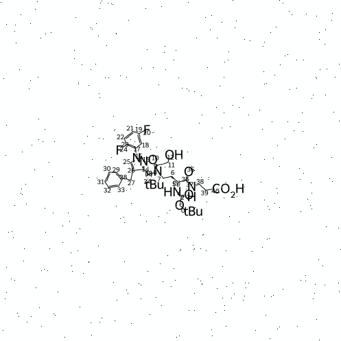 CC(C)(C)OC(=O)N[C@@H](CCN(C(=O)CO)[C@@H](c1nn(-c2cc(F)ccc2F)cc1Cc1ccccc1)C(C)(C)C)C(=O)NCCC(=O)O